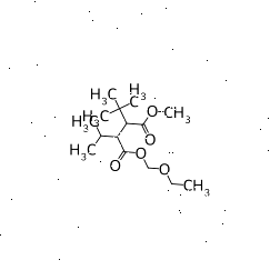 CCOCOC(=O)C(C(C)C)C(C(=O)OC)C(C)(C)C